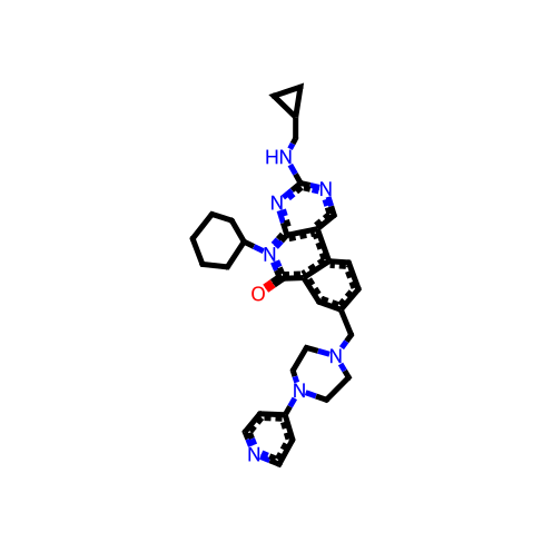 O=c1c2cc(CN3CCN(c4ccncc4)CC3)ccc2c2cnc(NCC3CC3)nc2n1C1CCCCC1